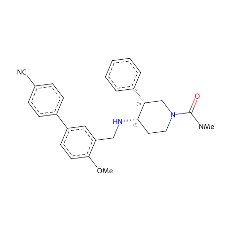 CNC(=O)N1CC[C@H](NCc2cc(-c3ccc(C#N)cc3)ccc2OC)[C@H](c2ccccc2)C1